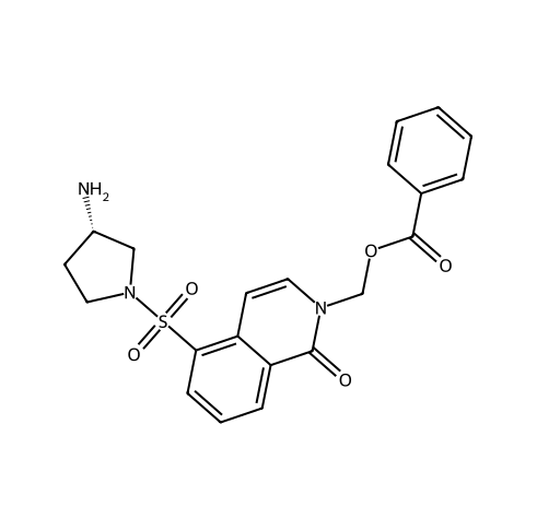 N[C@H]1CCN(S(=O)(=O)c2cccc3c(=O)n(COC(=O)c4ccccc4)ccc23)C1